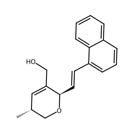 C[C@@H]1C=C(CO)[C@@H](C=Cc2cccc3ccccc23)OC1